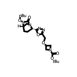 CCCCON1C(=O)N2C[C@@H]1CC[C@H]2c1nnc(COC2CN(C(=O)OC(C)(C)C)C2)o1